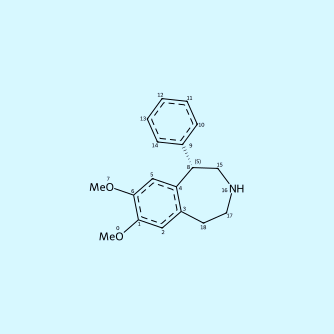 COc1cc2c(cc1OC)[C@H](c1ccccc1)CNCC2